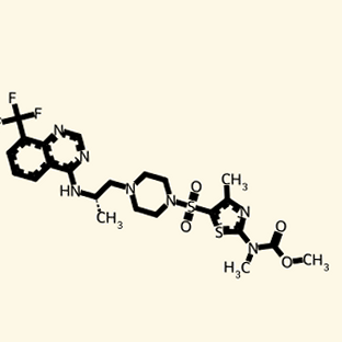 COC(=O)N(C)c1nc(C)c(S(=O)(=O)N2CCN(C[C@H](C)Nc3ncnc4c(C(F)(F)F)cccc34)CC2)s1